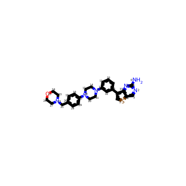 Nc1ncc2scc(-c3cccc(N4CCN(c5ccc(CN6CCOCC6)cc5)CC4)c3)c2n1